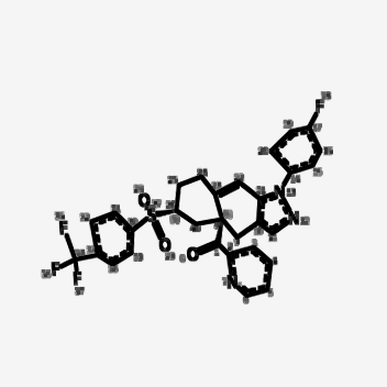 O=C(c1ccccn1)[C@]12Cc3cnn(-c4ccc(F)cc4)c3C=C1CC[C@H](S(=O)(=O)c1ccc(C(F)(F)F)cc1)C2